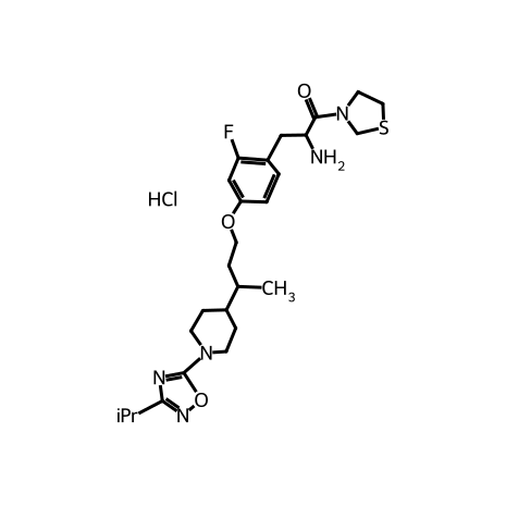 CC(C)c1noc(N2CCC(C(C)CCOc3ccc(CC(N)C(=O)N4CCSC4)c(F)c3)CC2)n1.Cl